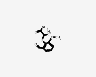 COc1cccc(C=O)c1OC(C)C(N)=O